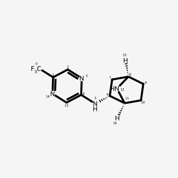 FC(F)(F)c1cnc(N[C@@H]2C[C@H]3CC[C@@H]2N3)cn1